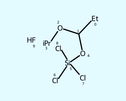 CCC(OC(C)C)O[Si](Cl)(Cl)Cl.F